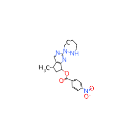 CC1CC(OC(=O)c2ccc([N+](=O)[O-])cc2)c2nc(N3CCCCCN3)ncc21